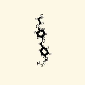 COc1ccc(COc2ccc(OCCF)cc2)cc1